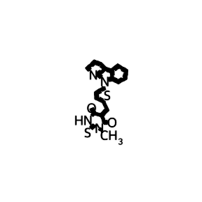 CN1C(=O)/C(=C/c2ccc(-n3c4ccccc4c4cccnc43)s2)C(=O)NC1=S